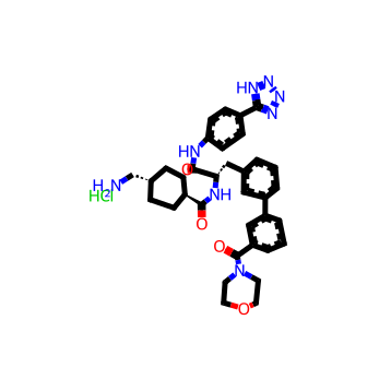 Cl.NC[C@H]1CC[C@H](C(=O)N[C@@H](Cc2cccc(-c3cccc(C(=O)N4CCOCC4)c3)c2)C(=O)Nc2ccc(-c3nnn[nH]3)cc2)CC1